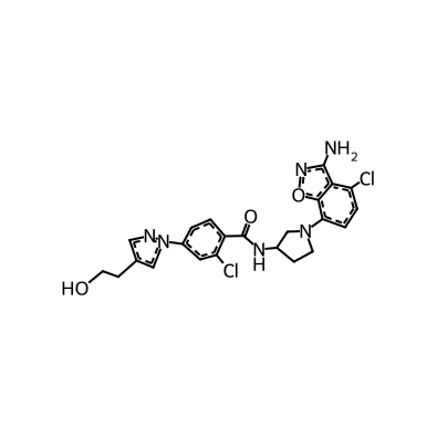 Nc1noc2c(N3CCC(NC(=O)c4ccc(-n5cc(CCO)cn5)cc4Cl)C3)ccc(Cl)c12